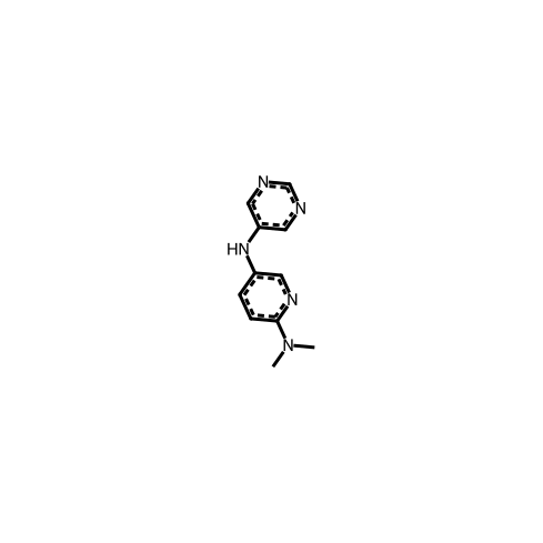 CN(C)c1ccc(Nc2cncnc2)cn1